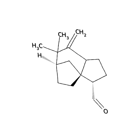 C=C1C2CC[C@H](C=O)[C@@]23CC[C@H](C3)C1(C)C